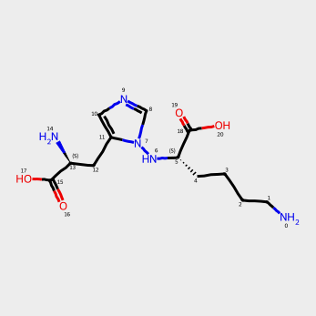 NCCCC[C@H](Nn1cncc1C[C@H](N)C(=O)O)C(=O)O